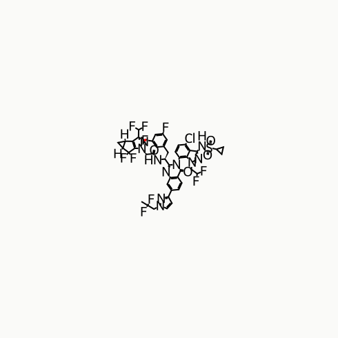 CC(F)(F)Cn1ccc(-c2ccc3c(=O)n(-c4ccc(Cl)c5c(NS(=O)(=O)C6CC6)nn(CC(F)F)c45)c([C@H](Cc4cc(F)cc(F)c4)NC(=O)Cn4nc(C(F)F)c5c4C(F)(F)[C@@H]4C[C@H]54)nc3c2)n1